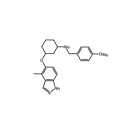 COc1ccc(CNC2CCCC(Oc3ccc4[nH]ncc4c3C)C2)cc1